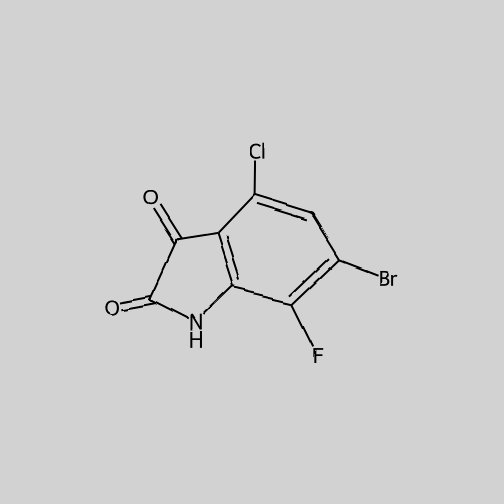 O=C1Nc2c(F)c(Br)cc(Cl)c2C1=O